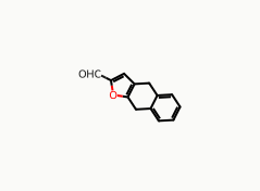 O=Cc1cc2c(o1)Cc1ccccc1C2